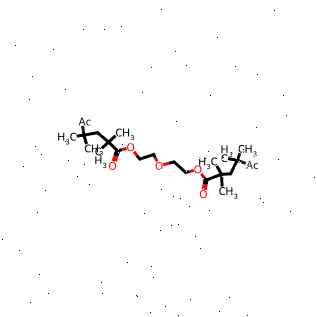 CC(=O)C(C)(C)CC(C)(C)C(=O)OCCOCCOC(=O)C(C)(C)CC(C)(C)C(C)=O